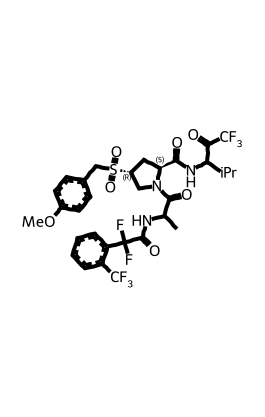 COc1ccc(CS(=O)(=O)[C@@H]2C[C@@H](C(=O)NC(C(=O)C(F)(F)F)C(C)C)N(C(=O)C(C)NC(=O)C(F)(F)c3ccccc3C(F)(F)F)C2)cc1